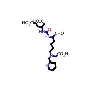 O=CC(CCCCN(CC(=O)O)Cc1ccccn1)NC(=O)NC(CCC(=O)O)CC(=O)O